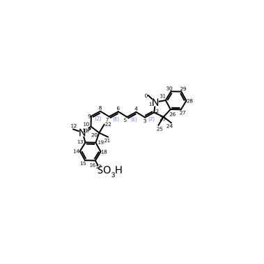 CN1\C(=C/C=C/C=C/C=C\C2=[N+](C)c3ccc(S(=O)(=O)O)cc3C2(C)C)C(C)(C)c2ccccc21